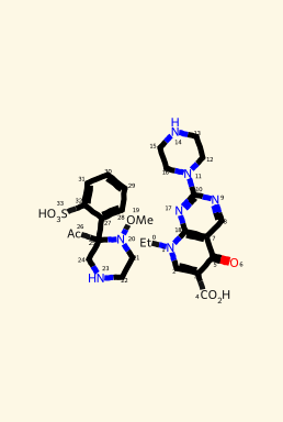 CCn1cc(C(=O)O)c(=O)c2cnc(N3CCNCC3)nc21.CON1CCNCC1(C(C)=O)c1ccccc1S(=O)(=O)O